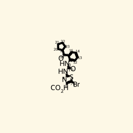 O=C(Nc1nc(C(=O)O)c(Br)s1)Nc1ccccc1C(=O)C1CCCC1